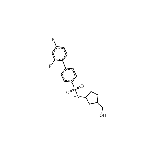 O=S(=O)(NC1CCC(CO)C1)c1ccc(-c2ccc(F)cc2F)cc1